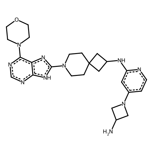 NC1CN(c2ccnc(NC3CC4(CCN(c5nc6c(N7CCOCC7)ncnc6[nH]5)CC4)C3)c2)C1